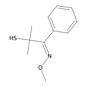 CON=C(c1ccccc1)C(C)(C)S